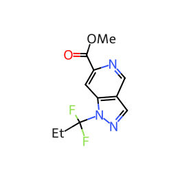 CCC(F)(F)n1ncc2cnc(C(=O)OC)cc21